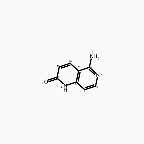 Nc1nccc2[nH]c(=O)ccc12